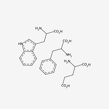 NC(CCC(=O)O)C(=O)O.NC(Cc1c[nH]c2ccccc12)C(=O)O.NC(Cc1ccccc1)C(=O)O